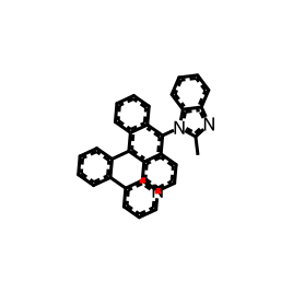 Cc1nc2ccccc2n1-c1c2ccccc2c(-c2ccccc2-c2cccnc2)c2ccccc12